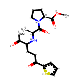 COC(=O)C(CCC(=O)c1cccs1)N[C@@H](C)C(=O)N1CCC[C@H]1C(=O)OC(C)(C)C